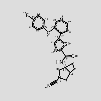 N#CN1CC2CC[C@]2(NC(=O)c2ncc(-c3ccncc3Oc3ccc(F)cc3)s2)C1